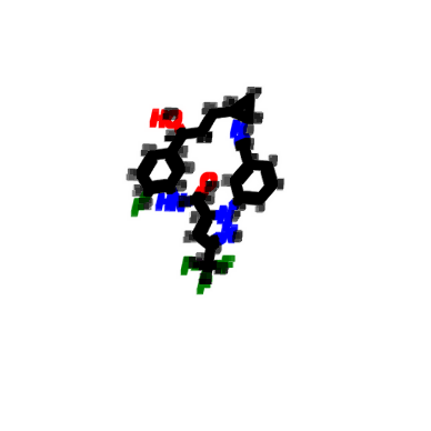 N#Cc1cccc(-n2nc(C(F)(F)F)cc2C(=O)Nc2cc(C(O)CCC3CC3)ccc2F)c1